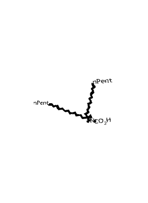 CCCCCC=CCC=CCCCCCCCCC1(CCCCCCCCC=CCC=CCCCCC)CN(C(=O)O)C1C